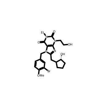 CCn1c(=O)c2c(nc(CC3CCC[C@H]3O)n2Cc2ccc(OC)c(Br)c2)n(CCO)c1=O